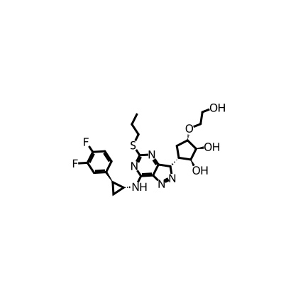 CCCSc1nc(N[C@@H]2C[C@H]2c2ccc(F)c(F)c2)c2c(n1)C([C@@H]1C[C@H](OCCO)[C@@H](O)[C@H]1O)N=N2